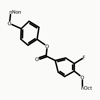 CCCCCCCCCOc1ccc(OC(=O)c2ccc(OCCCCCCCC)c(F)c2)cc1